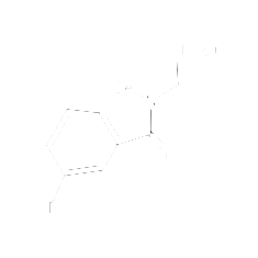 CCCCCCCCn1[se]c2ccc(Cl)cc2c1=O